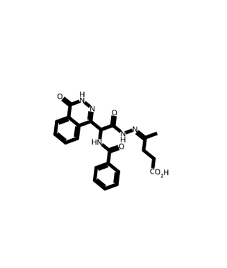 CC(CCC(=O)O)=NNC(=O)C(NC(=O)c1ccccc1)c1n[nH]c(=O)c2ccccc12